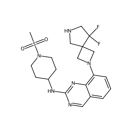 CS(=O)(=O)N1CCC(Nc2ncc3cccc(N4CC5(CNCC5(F)F)C4)c3n2)CC1